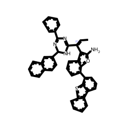 C/C=C(/C1=NC(c2ccccc2)=NC(c2ccc3ccccc3c2)N1)c1c(N)oc2c(-c3cccc4c3sc3ccccc34)cccc12